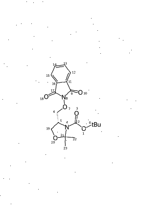 CC(C)(C)OC(=O)N1[C@@H](CON2C(=O)c3ccccc3C2=O)COC1(C)C